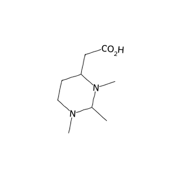 CC1N(C)CCC(CC(=O)O)N1C